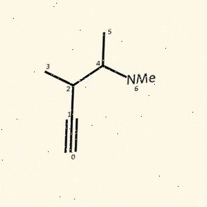 C#CC(C)C(C)NC